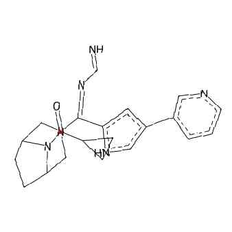 N=C/N=C(\c1cc(-c2cccnc2)c[nH]1)N1CC2CCC(C1)N2C(=O)C1CC1